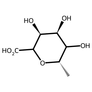 C[C@@H]1OC(C(=O)O)[C@@H](O)[C@@H](O)C1O